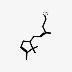 CC(=CCC1CC=C(C)C1(C)C)CCC#N